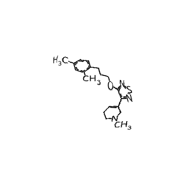 Cc1ccc(CCCOc2nsnc2C2=CCCN(C)C2)c(C)c1